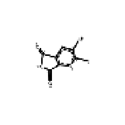 Cc1nc2c(cc1Cl)C(=O)OC2=O